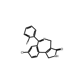 O=C1NCC2=C1CN=C(c1ccccc1F)c1cc(Cl)ccc12